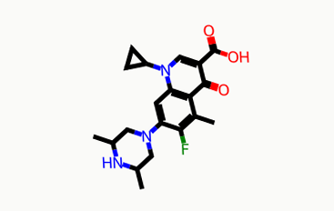 Cc1c(F)c(N2CC(C)NC(C)C2)cc2c1c(=O)c(C(=O)O)cn2C1CC1